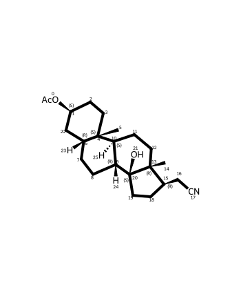 CC(=O)O[C@H]1CC[C@@]2(C)[C@H](CC[C@@H]3[C@@H]2CC[C@]2(C)[C@@H](CC#N)CC[C@]32O)C1